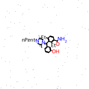 CCCCCN1C[C@H](C)N([C@H](c2cccc(O)c2)c2c(CC)ccc(C(N)=O)c2CC)C[C@H]1C